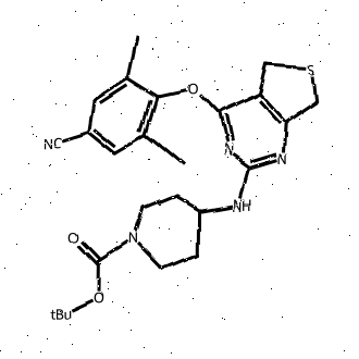 Cc1cc(C#N)cc(C)c1Oc1nc(NC2CCN(C(=O)OC(C)(C)C)CC2)nc2c1CSC2